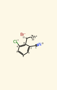 N#Cc1cccc(Cl)c1[CH2][Zn+].[Br-]